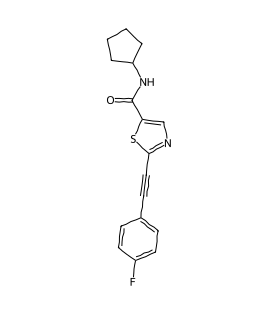 O=C(NC1CCCC1)c1cnc(C#Cc2ccc(F)cc2)s1